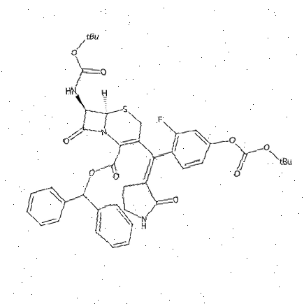 CC(C)(C)OC(=O)N[C@@H]1C(=O)N2C(C(=O)OC(c3ccccc3)c3ccccc3)=C(C(=C3CCNC3=O)c3ccc(OC(=O)OC(C)(C)C)cc3F)CS[C@H]12